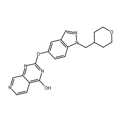 Oc1nc(Oc2ccc3c(cnn3CC3CCOCC3)c2)nc2cnccc12